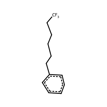 FC(F)(F)CCCCCc1ccccc1